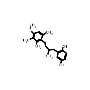 COc1cc(C)c(CCC(C)Cc2cc(O)ccc2O)c(C)c1C